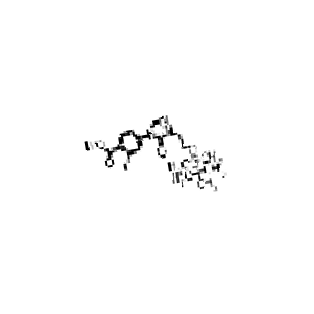 CC(C)(C)[Si](C)(C)OCCn1ncn(-c2ccc(C(=O)O)c(Cl)c2)c1=O